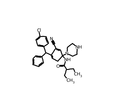 CCC(CC)C(=O)NC1(N2CCNCC2)C=C(C#N)C(C(c2ccccc2)c2ccc(Cl)cc2)=CC1